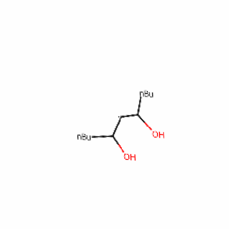 CCCCC(O)[CH]C(O)CCCC